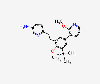 COc1ncccc1-c1cc(CCc2ccc(N)cn2)c(OC)c(C(C)(C)C)c1